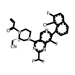 C=CC(=O)N1CCN(c2nc(C(F)F)nc3c(F)c(-c4cccc5ccc(F)c(Cl)c45)ncc23)C[C@@H]1CC#N